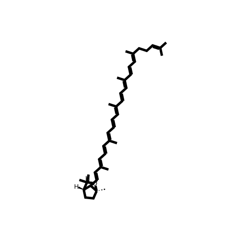 CC(C)=CCC/C(C)=C/C=C/C(C)=C/C=C/C(C)=C/C=C/C=C(C)/C=C/C=C(C)/C=C/[C@@H]1[C@@H]2CC[C@]1(C)OC2(C)C